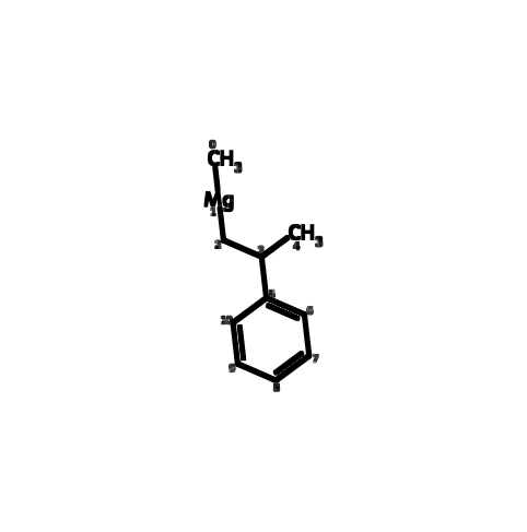 [CH3][Mg][CH2]C(C)c1ccccc1